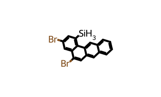 [SiH3]c1cc(Br)cc2c(Br)cc3cc4ccccc4cc3c12